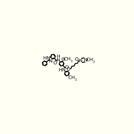 COc1cc(C(=O)Nc2ccc(C)cc2OCCCCCC(=O)N2CCN(C)CC2)ccc1NC(=O)c1cccc2[nH]c(-c3ccccc3)nc12